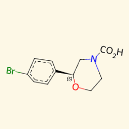 O=C(O)N1CCO[C@@H](c2ccc(Br)cc2)C1